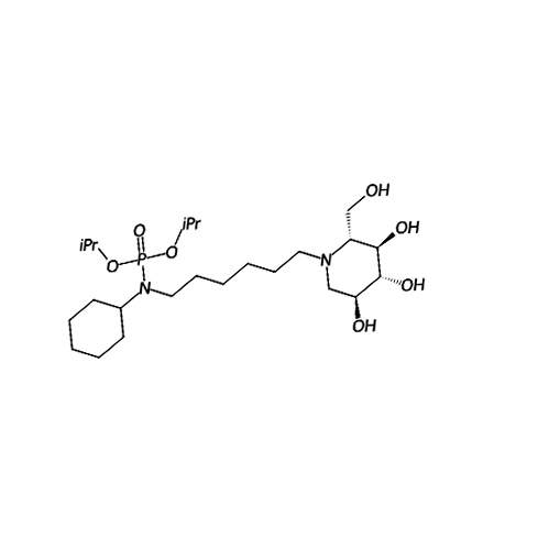 CC(C)OP(=O)(OC(C)C)N(CCCCCCN1C[C@H](O)[C@@H](O)[C@H](O)[C@H]1CO)C1CCCCC1